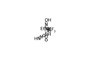 CC[C@@H](CCN1CCC(O)CC1)NC1CCC(Nc2ccc(N3CCNCC3)cc2Oc2ccccc2)C=C1S(=O)(=O)C(F)(F)F